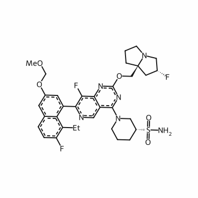 CCc1c(F)ccc2cc(OCOC)cc(-c3ncc4c(N5CCC[C@@H](S(N)(=O)=O)C5)nc(OC[C@@]56CCCN5C[C@H](F)C6)nc4c3F)c12